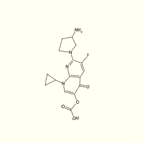 NC1CCN(c2nc3c(cc2F)c(=O)c(OC(=O)O)cn3C2CC2)C1